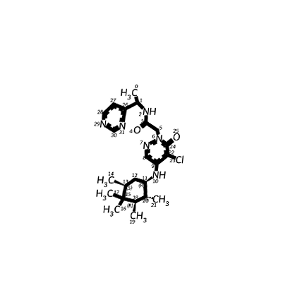 CC(NC(=O)Cn1ncc(N[C@@H]2C[C@H](C)C(C)(C)[C@H](C)[C@H]2C)c(Cl)c1=O)c1ccncn1